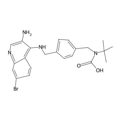 CC(C)(C)N(Cc1ccc(CNc2c(N)cnc3cc(Br)ccc23)cc1)C(=O)O